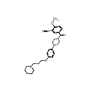 COc1ccc(C(=O)N2CCN(c3ccc(OCCCN4CCCCC4)cc3)CC2)cc1C#N